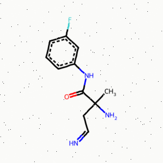 CC(N)(CC=N)C(=O)Nc1cccc(F)c1